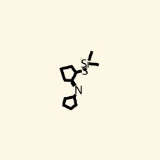 C[Si](C)(C)SC1CCC/C1=N\C1CCCC1